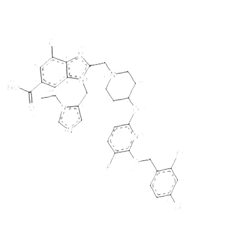 CCn1cncc1Cn1c(CN2CCC(Oc3ccc(F)c(OCc4ccc(Cl)cc4F)n3)CC2)nc2c(F)cc(C(=O)O)cc21